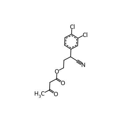 CC(=O)CC(=O)OCCC(C#N)c1ccc(Cl)c(Cl)c1